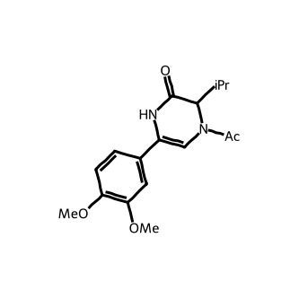 COc1ccc(C2=CN(C(C)=O)C(C(C)C)C(=O)N2)cc1OC